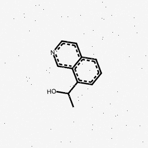 CC(O)c1cccc2ccncc12